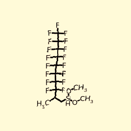 CO[SiH](CC(C)C(F)(F)C(F)(F)C(F)(F)C(F)(F)C(F)(F)C(F)(F)C(F)(F)C(F)(F)F)OC